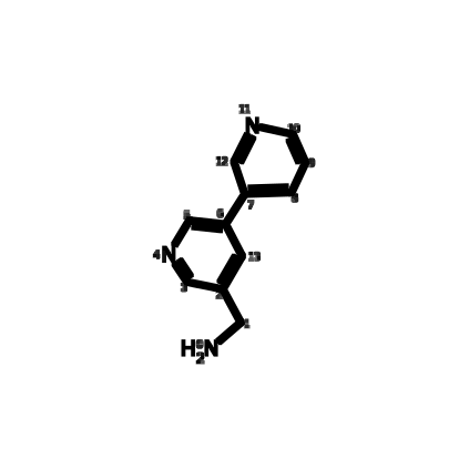 NCc1cncc(-c2cccnc2)c1